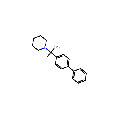 CCC(C)(c1ccc(-c2ccccc2)cc1)N1CCCCC1